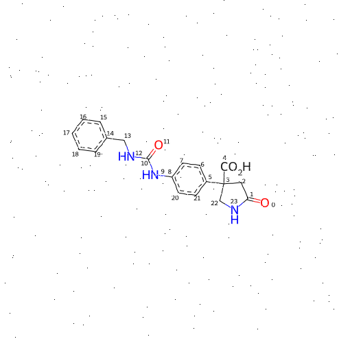 O=C1CC(C(=O)O)(c2ccc(NC(=O)NCc3ccccc3)cc2)CN1